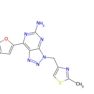 Cc1nc(Cn2nnc3c(-c4ccco4)nc(N)nc32)cs1